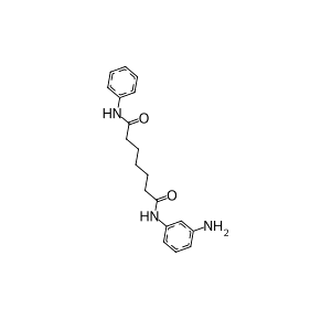 Nc1cccc(NC(=O)CCCCCC(=O)Nc2ccccc2)c1